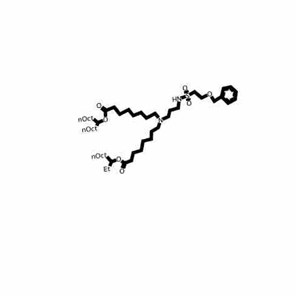 CCCCCCCCC(CC)OC(=O)CCCCCCCN(CCCCCCCC(=O)OC(CCCCCCCC)CCCCCCCC)CCCNS(=O)(=O)CCOCc1ccccc1